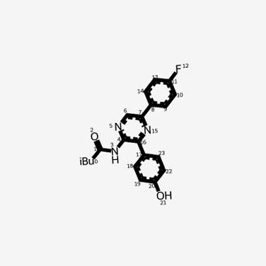 CCC(C)C(=O)Nc1ncc(-c2ccc(F)cc2)nc1-c1ccc(O)cc1